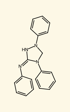 c1ccc(/N=C2/NN(c3ccccc3)CN2c2ccccc2)cc1